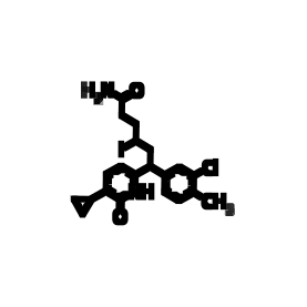 Cc1ccc(C(CC(I)CCC(N)=O)c2ccc(C3CC3)c(=O)[nH]2)cc1Cl